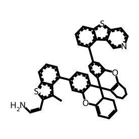 Cc1c(/C=C\N)sc2cccc(-c3ccc4c(c3)OC3=CC=CCC3C43C4=C(CCCC4)Oc4cc(-c5cccc6sc7ccncc7c56)ccc43)c12